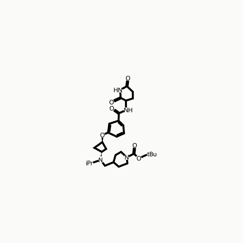 CC(C)N(CC1CCN(C(=O)OC(C)(C)C)CC1)[C@H]1C[C@H](Oc2cccc(C(=O)NC3CCC(=O)NC3=O)c2)C1